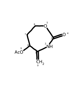 C=C1NC(=O)OCCC1OC(C)=O